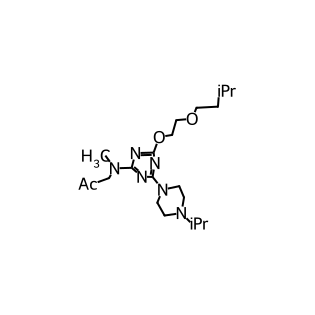 CC(=O)CN(C)c1nc(OCCOCCC(C)C)nc(N2CCN(C(C)C)CC2)n1